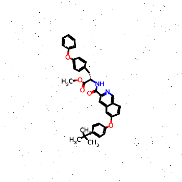 COC(=O)[C@H](Cc1ccc(Oc2ccccc2)cc1)NC(=O)c1cc2cc(Oc3ccc(C(C)(C)C)cc3)ccc2cn1